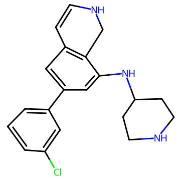 Clc1cccc(-c2cc3c(c(NC4CCNCC4)c2)CNC=C3)c1